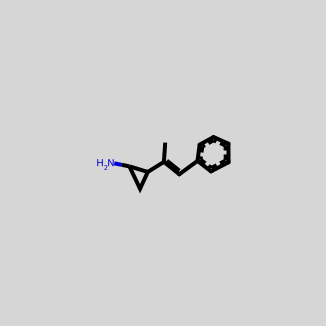 C/C(=C\c1ccccc1)C1CC1N